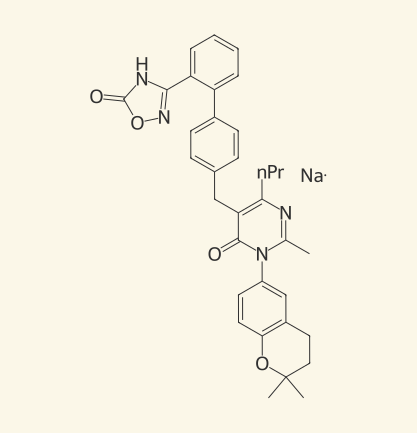 CCCc1nc(C)n(-c2ccc3c(c2)CCC(C)(C)O3)c(=O)c1Cc1ccc(-c2ccccc2-c2noc(=O)[nH]2)cc1.[Na]